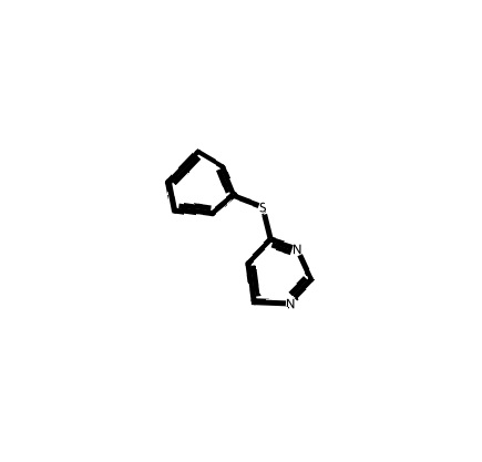 c1ccc(Sc2ccncn2)cc1